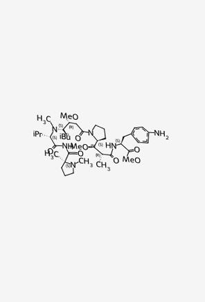 CC[C@H](C)[C@@H]([C@@H](CC(=O)N1CCC[C@H]1[C@H](OC)[C@@H](C)C(=O)N[C@@H](Cc1ccc(N)cc1)C(=O)OC)OC)N(C)[C@H](C(=O)NC(=O)[C@]1(C)CCCN1C)C(C)C